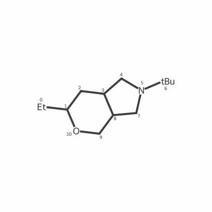 CCC1CC2CN(C(C)(C)C)CC2CO1